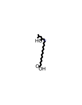 CC(C)CC(O)/C=C\CCCCCCCCCCCCC(=O)O